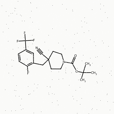 CC(C)(C)OC(=O)N1CCC(C#N)(Cc2cc(C(F)(F)F)ccc2F)CC1